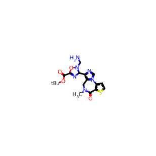 CN1Cc2c(C3N=C(C(=O)OC(C)(C)C)ON3CN)ncn2-c2ccsc2C1=O